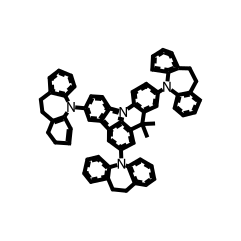 CC1(C)c2cc(N3c4ccccc4CCc4ccccc43)ccc2-n2c3ccc(N4C5=C(CCC=C5)CCc5ccccc54)cc3c3cc(N4c5ccccc5CCc5ccccc54)cc1c32